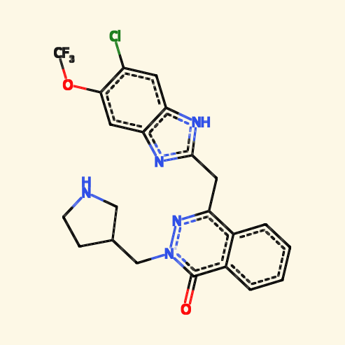 O=c1c2ccccc2c(Cc2nc3cc(OC(F)(F)F)c(Cl)cc3[nH]2)nn1CC1CCNC1